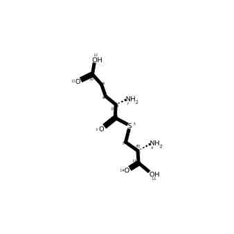 N[C@@H](CSC(=O)[C@@H](N)CCC(=O)O)C(=O)O